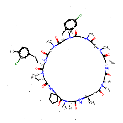 CC[C@H](C)[C@@H]1NC(=O)[C@H](C(C)C)N(C)C(=O)C[C@@H](C)NC(=O)[C@H](C(C)C)N(C)C(=O)C2(CCCC2)NC(=O)[C@H](CC(C)C)N(C)C(=O)[C@H](CCc2ccc(C(F)(F)F)c(Cl)c2)NC(=O)CN(C)C(=O)[C@H](Cc2ccc(Cl)cc2)N(C)C(=O)CN(C)C(=O)CN(C)C1=O